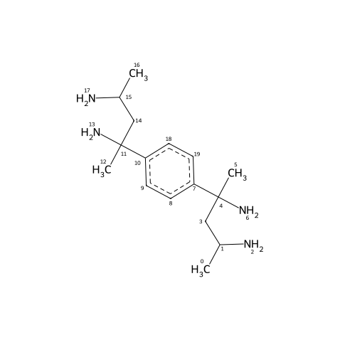 CC(N)CC(C)(N)c1ccc(C(C)(N)CC(C)N)cc1